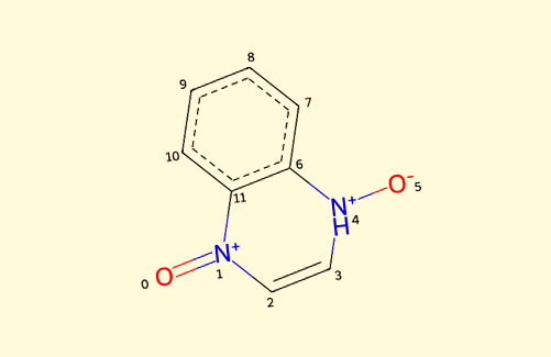 O=[N+]1C=C[NH+]([O-])c2ccccc21